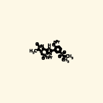 CCCOc1ccc(S(=O)(=O)N(C)C)cc1-c1nc2c([nH]1)C1=N[N+](=O)C(C)N1C[N+]2([O-])CCC